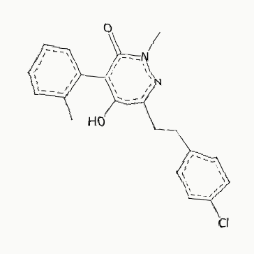 Cc1ccccc1-c1c(O)c(CCc2ccc(Cl)cc2)nn(C)c1=O